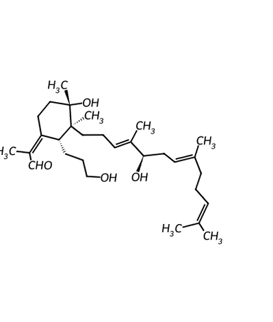 CC(C)=CCC/C(C)=C/C[C@@H](O)/C(C)=C/CC[C@@]1(C)[C@H](CCCO)/C(=C(/C)C=O)CC[C@]1(C)O